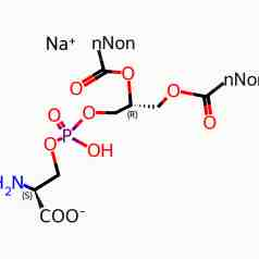 CCCCCCCCCC(=O)OC[C@H](COP(=O)(O)OC[C@H](N)C(=O)[O-])OC(=O)CCCCCCCCC.[Na+]